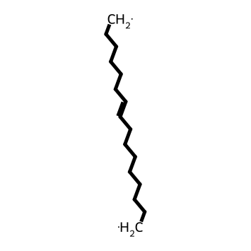 [CH2]CCCCC/C=C/CCCCCCC[CH2]